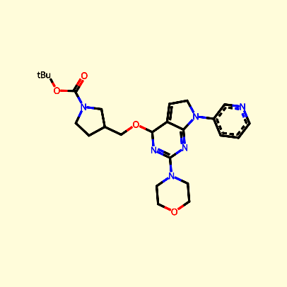 CC(C)(C)OC(=O)N1CCC(COC2N=C(N3CCOCC3)N=C3C2=CCN3c2cccnc2)C1